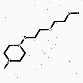 CSCCOCCSN1CCN(C)CC1